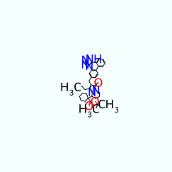 CCCc1c(Cc2ccc(-c3ccccc3-c3nnn[nH]3)cc2)c(=O)n2n1C(C1(C(=O)OC(C)C)CCCCC1)CCC2